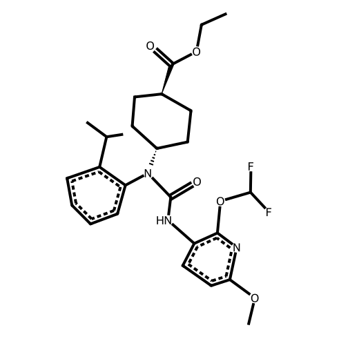 CCOC(=O)[C@H]1CC[C@H](N(C(=O)Nc2ccc(OC)nc2OC(F)F)c2ccccc2C(C)C)CC1